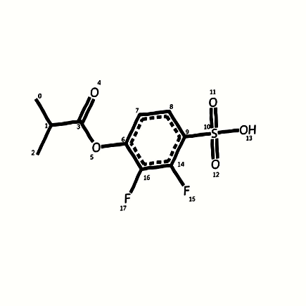 CC(C)C(=O)Oc1ccc(S(=O)(=O)O)c(F)c1F